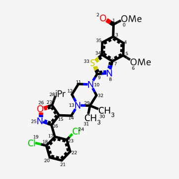 COC(=O)c1cc(OC)c2nc(N3CCN(Cc4c(-c5c(Cl)cccc5Cl)noc4C(C)C)C(C)(C)C3)sc2c1